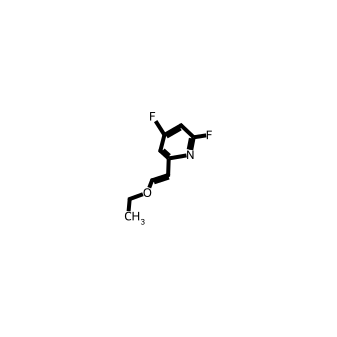 CCOC=Cc1cc(F)cc(F)n1